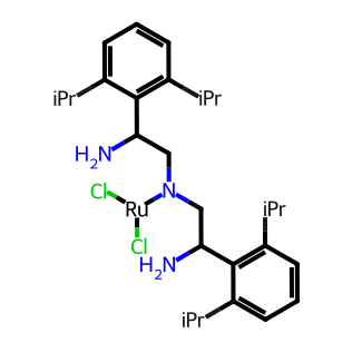 CC(C)c1cccc(C(C)C)c1C(N)C[N](CC(N)c1c(C(C)C)cccc1C(C)C)[Ru]([Cl])[Cl]